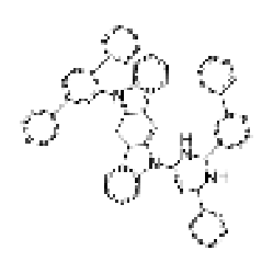 C1=C2C(Cc3c1c1ccccc1n3-c1cc(-c3ccccc3)ccc1-c1ccccc1)c1ccccc1N2C1=NC(c2ccccc2)NC(c2cccc(-c3ccccc3)c2)N1